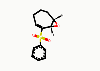 O=S(=O)(C1=CCCC[C@@H]2O[C@H]12)c1ccccc1